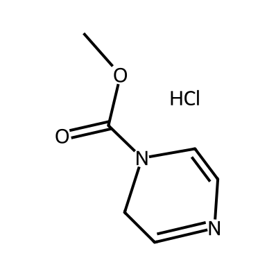 COC(=O)N1C=CN=CC1.Cl